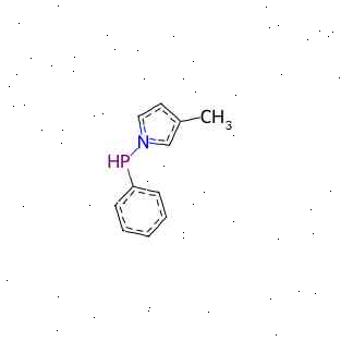 Cc1ccn(Pc2ccccc2)c1